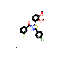 COc1cccc([C@H]2SC(c3ccc(Cl)cc3)=NN2C(=O)c2cccc(F)c2)c1OC